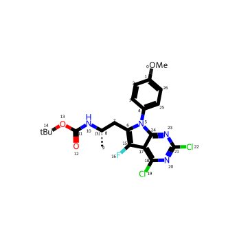 COc1ccc(-n2c(C[C@H](C)NC(=O)OC(C)(C)C)c(F)c3c(Cl)nc(Cl)nc32)cc1